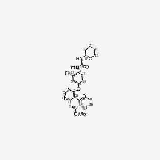 COc1cc2ncnc(Oc3ccc(NC(=O)NC4CCCCC4)c(Cl)c3)c2c2c1OCCO2